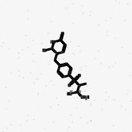 CCC1NC(=O)C=CN1Cc1ccc(S(=O)(=O)N(C)[C@@H](C(=O)O)[C@H](C)CC)cc1